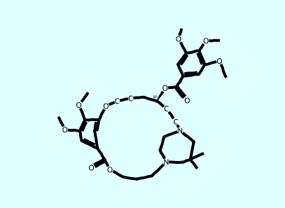 COc1cc(C(=O)O[C@@H]2CCCOc3cc(cc(OC)c3OC)C(=O)OCCCN3CCN(CC2)CC(C)(C)C3)cc(OC)c1OC